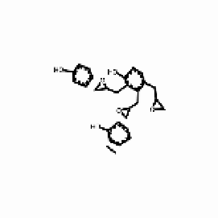 CC.Oc1ccc(CC2CO2)c(CC2CO2)c1CC1CO1.Oc1ccccc1.Oc1ccccc1